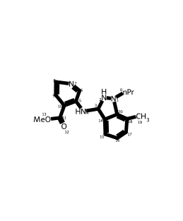 CCCN1NC(Nc2cnccc2C(=O)OC)c2cccc(C)c21